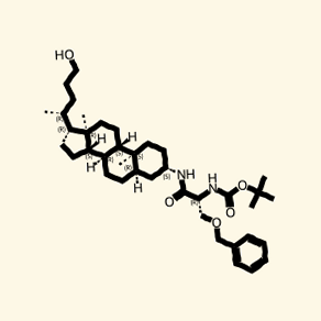 C[C@H](CCCO)[C@H]1CC[C@H]2[C@@H]3CC[C@@H]4C[C@@H](NC(=O)[C@@H](COCc5ccccc5)NC(=O)OC(C)(C)C)CC[C@]4(C)[C@H]3CC[C@]12C